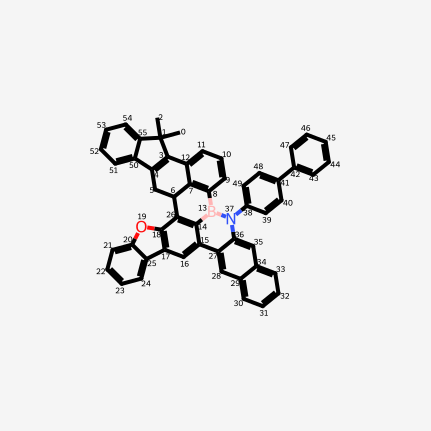 CC1(C)C2=C(CC3c4c(cccc42)B2c4c(cc5c(oc6ccccc65)c43)-c3cc4ccccc4cc3N2c2ccc(-c3ccccc3)cc2)c2ccccc21